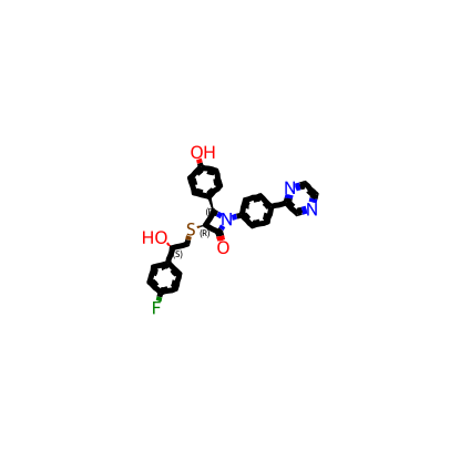 O=C1[C@H](SC[C@@H](O)c2ccc(F)cc2)[C@@H](c2ccc(O)cc2)N1c1ccc(-c2cnccn2)cc1